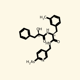 Cc1cccc(C[C@H](NC(=O)[C@H](O)Cc2ccccc2)C(=O)NCc2ccc([AsH2])nc2)c1